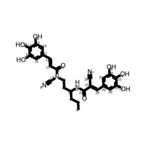 CCCC(CCN(C#N)C(=O)C=Cc1cc(O)c(O)c(O)c1)NC(=O)C(C#N)=Cc1cc(O)c(O)c(O)c1